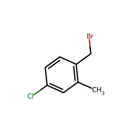 Cc1cc(Cl)ccc1CBr